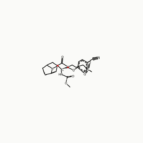 COC(=O)N[C@H](COc1ccc(C#N)cc1)CN1C2CCC1CN(C(=O)OCCCS(C)(=O)=O)C2